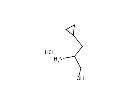 Cl.NC(CO)CC1CC1